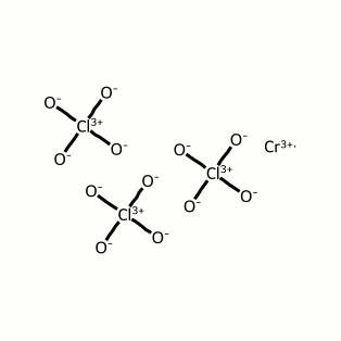 [Cr+3].[O-][Cl+3]([O-])([O-])[O-].[O-][Cl+3]([O-])([O-])[O-].[O-][Cl+3]([O-])([O-])[O-]